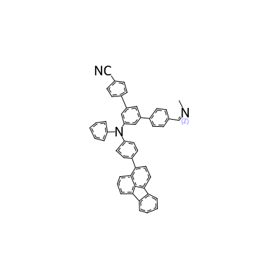 C/N=C\c1ccc(-c2cc(-c3ccc(C#N)cc3)cc(N(c3ccccc3)c3ccc(-c4ccc5c6c(cccc46)-c4ccccc4-5)cc3)c2)cc1